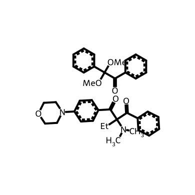 CCC(C(=O)c1ccccc1)(C(=O)c1ccc(N2CCOCC2)cc1)N(C)C.COC(OC)(C(=O)c1ccccc1)c1ccccc1